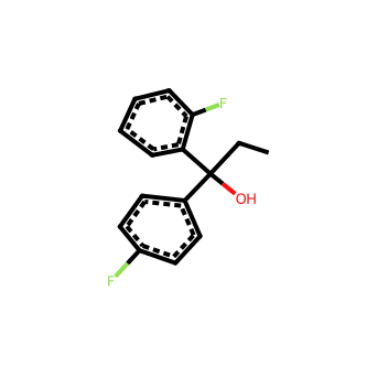 CCC(O)(c1ccc(F)cc1)c1ccccc1F